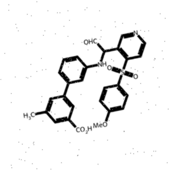 COc1ccc(S(=O)(=O)c2ccncc2C(C=O)Nc2cccc(-c3cc(C)cc(C(=O)O)c3)c2)cc1